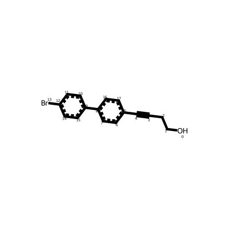 OCCC#Cc1ccc(-c2ccc(Br)cc2)cc1